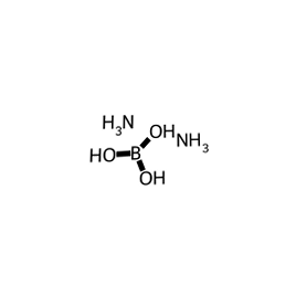 N.N.OB(O)O